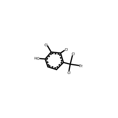 CCC(Cl)(Cl)c1ccc(O)c(Cl)c1Cl